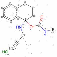 C#CCNC1(OC(=O)NCC)CCCc2ccccc21.Cl